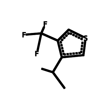 CC(C)c1cscc1C(F)(F)F